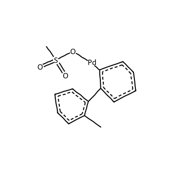 Cc1ccccc1-c1cccc[c]1[Pd][O]S(C)(=O)=O